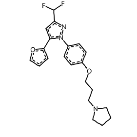 FC(F)c1cc(-c2ccco2)n(-c2ccc(OCCCN3CCCC3)cc2)n1